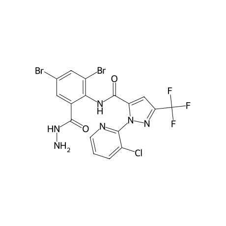 NNC(=O)c1cc(Br)cc(Br)c1NC(=O)c1cc(C(F)(F)F)nn1-c1ncccc1Cl